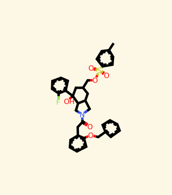 Cc1ccc(S(=O)(=O)OCC2CC3CN(C(=O)Cc4ccccc4OCc4ccccc4)CC3C(O)(c3ccccc3F)C2)cc1